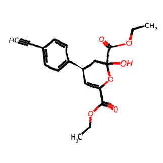 C#Cc1ccc([C@@H]2C=C(C(=O)OCC)OC(O)(C(=O)OCC)C2)cc1